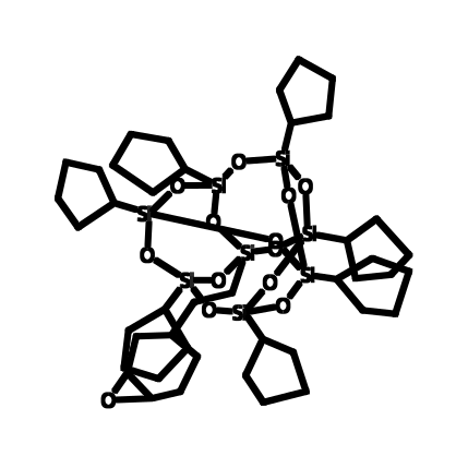 C1CCC([Si]23O[Si]4(CCC5CCC6OC6C5)O[Si]5(C6CCCC6)O[Si](C6CCCC6)(O2)O[Si]2(C6CCCC6)O[Si](C6CCCC6)(O3)O[Si](C3CCCC3)(O4)O[Si](C3CCCC3)(O5)O2)C1